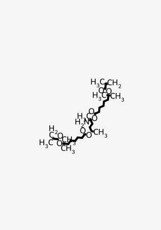 C=C(C)C(=O)OC(C)(C)CCCCCC(=O)OC(C)CCC(C)(N)OC(=O)CCCCCC(C)(C)OC(=O)C(=C)C